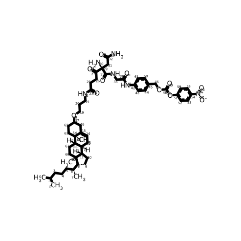 CC(C)CCC[C@@H](C)[C@H]1CC[C@H]2[C@@H]3CC=C4CC(OCCCNC(=O)CCC(=O)[C@](N)(CC(N)=O)C(=O)NCC(=O)Nc5ccc(COC(=O)Oc6ccc([N+](=O)[O-])cc6)cc5)CC[C@]4(C)[C@H]3CC[C@]12C